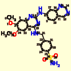 COc1cc2nc(Nc3ccc4cncnc4c3)nc(NCc3ccc(S(N)(=O)=O)cc3)c2cc1OC